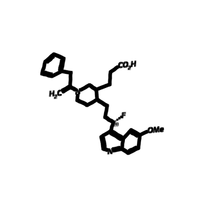 C=C(Cc1ccccc1)N1CCC(CC[C@H](F)c2ccnc3ccc(OC)cc23)C(CCC(=O)O)C1